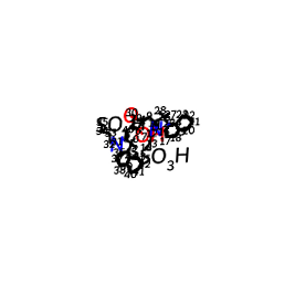 CC1(C)C(=CC2=C(O)C(=CC3=[N+](CCCS(=O)(=O)O)c4ccc5ccccc5c4C3(C)C)C2=O)N(CCCS(=O)(=O)O)c2ccc3ccccc3c21